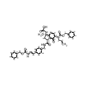 C=CCN(C(=O)OCc1ccccc1)c1cnc2n(c1=O)[C@@H](C(=O)NCc1ccc(C=NNC(=O)OCc3ccccc3)cc1)C[C@@]2(C)CC(=O)O